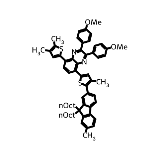 CCCCCCCCC1(CCCCCCCC)c2cc(C)ccc2-c2ccc(-c3sc(-c4ccc(-c5cc(C)c(C)s5)c5nc(-c6ccc(OC)cc6)c(-c6ccc(OC)cc6)nc45)cc3C)cc21